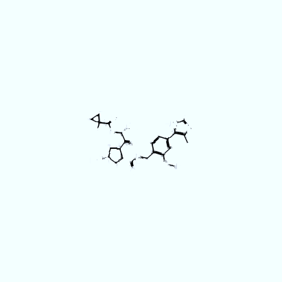 Cc1nc[nH]c1-c1ccc(CNC(=O)[C@@H]2C[C@@H](O)CC2C(=O)[C@@H](NC(=O)C2(F)CC2)C(C)(C)C)c(OC(C)C)c1